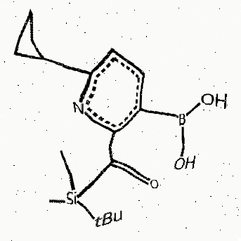 CC(C)(C)[Si](C)(C)C(=O)c1nc(C2CC2)ccc1B(O)O